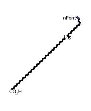 CCCCC/C=C\C/C=C\CCCCCCCC(=O)OCCCCCCCCCCCCCCCCCCCCCCCCCCCCCCCCCCCCCCC(=O)O